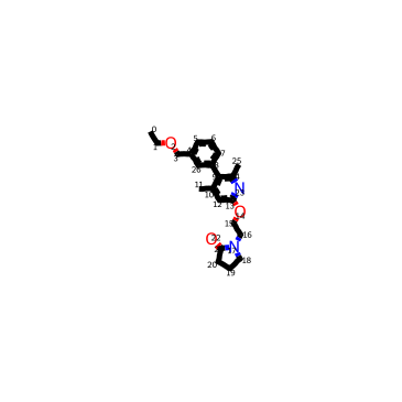 CCOCc1cccc(-c2c(C)cc(OCCN3CCCC3=O)nc2C)c1